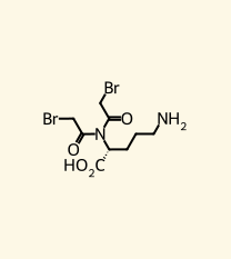 NCCC[C@H](C(=O)O)N(C(=O)CBr)C(=O)CBr